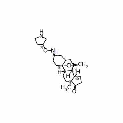 C=C1CC2C/C(=N/O[C@H]3CCNC3)CC[C@]2(C)[C@H]2CC[C@]3(C)C(=O)CC[C@H]3[C@H]12